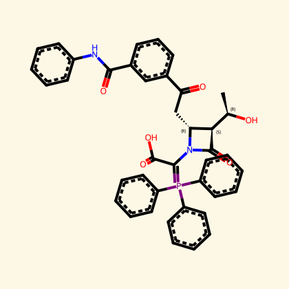 C[C@@H](O)[C@H]1C(=O)N(C(C(=O)O)=P(c2ccccc2)(c2ccccc2)c2ccccc2)[C@@H]1CC(=O)c1cccc(C(=O)Nc2ccccc2)c1